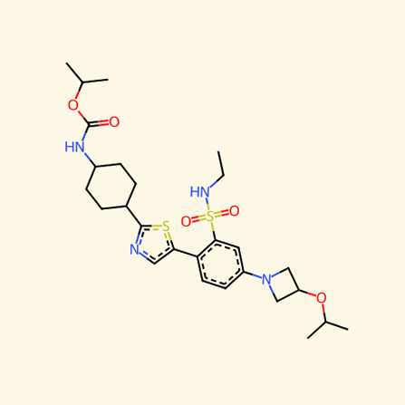 CCNS(=O)(=O)c1cc(N2CC(OC(C)C)C2)ccc1-c1cnc(C2CCC(NC(=O)OC(C)C)CC2)s1